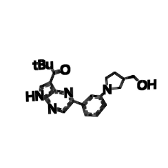 CC(C)(C)C(=O)c1c[nH]c2ncc(-c3cccc(N4CC[C@@H](CO)C4)c3)nc12